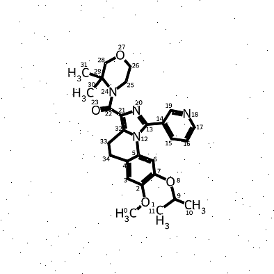 COc1cc2c(cc1OC(C)C)-n1c(-c3cccnc3)nc(C(=O)N3CCOCC3(C)C)c1CC2